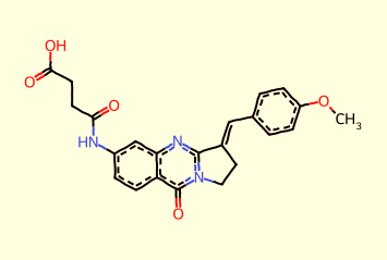 COc1ccc(/C=C2\CCn3c2nc2cc(NC(=O)CCC(=O)O)ccc2c3=O)cc1